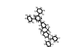 CC1(C)c2ccc(N(c3ccccc3)c3ccccc3)cc2C(C)(C)c2ccc(-c3nc(-c4ccccc4)nc(-c4ccccc4)n3)cc21